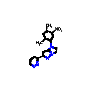 Cc1cc(C)c([N+](=O)[O-])cc1-n1ccn2nc(-c3cccnn3)cc12